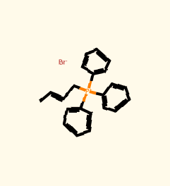 C/C=C/C[P+](c1ccccc1)(c1ccccc1)c1ccccc1.[Br-]